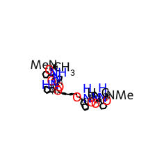 CN[C@H](C)C(=O)NC(C(=O)N1CCC[C@@H]1C(=O)N[C@@H]1c2ccccc2C[C@@H]1OCC#CC#CCOCC1Cc2ccccc2[C@H]1NC(=O)[C@H]1CCCN1C(=O)[C@H](NC(=O)[C@@H](C)NC)C1CCCCC1)C1CCCCC1